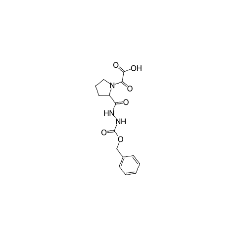 O=C(NNC(=O)C1CCCN1C(=O)C(=O)O)OCc1ccccc1